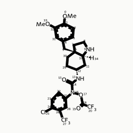 COc1ccc(C[C@@]23CCN[C@H]2C[C@H](NC(=O)N(OC(=O)C(F)(F)F)c2ccc(Cl)c(C(F)(F)F)c2)CC3)cc1OC